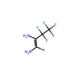 NC(F)=C(N)C(F)(F)C(F)(F)F